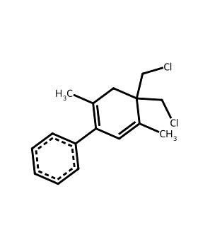 CC1=CC(c2ccccc2)=C(C)CC1(CCl)CCl